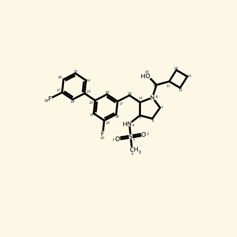 CS(=O)(=O)NC1CCN(C(O)C2CCC2)C1Cc1cc(F)cc(-c2cccc(F)c2)c1